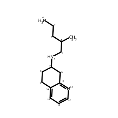 CC(CCN)CNC1CCc2cccnc2C1